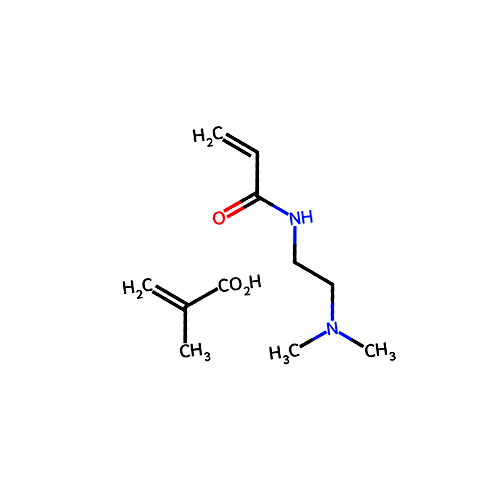 C=C(C)C(=O)O.C=CC(=O)NCCN(C)C